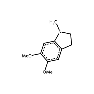 COc1cc2c(cc1OC)N(C)CC2